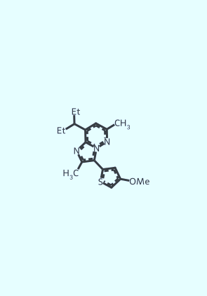 CCC(CC)c1cc(C)nn2c(-c3cc(OC)cs3)c(C)nc12